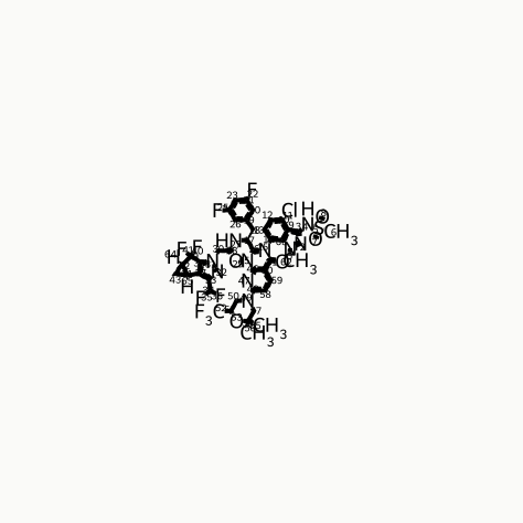 Cn1nc(NS(C)(=O)=O)c2c(Cl)ccc(-n3c([C@H](Cc4cc(F)cc(F)c4)NC(=O)Cn4nc(C(F)F)c5c4C(F)(F)[C@@H]4C[C@H]54)nc4nc(N5CC(C(F)(F)F)OC(C)(C)C5)ccc4c3=O)c21